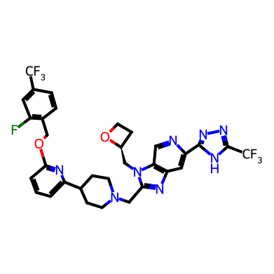 Fc1cc(C(F)(F)F)ccc1COc1cccc(C2CCN(Cc3nc4cc(-c5nnc(C(F)(F)F)[nH]5)ncc4n3C[C@@H]3CCO3)CC2)n1